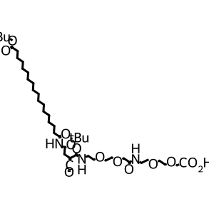 CC(C)(C)OC(=O)CCCCCCCCCCCCCCCCC(=O)NC(CC(=C=O)C(=O)NCCOCCOCC(=O)NCCOCCOCC(=O)O)OC(C)(C)C